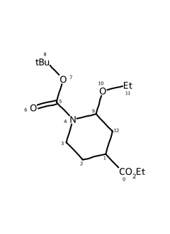 CCOC(=O)C1CCN(C(=O)OC(C)(C)C)C(OCC)C1